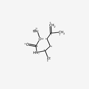 C=C(C)CCC(CC)NC(=O)OC(C)(C)C